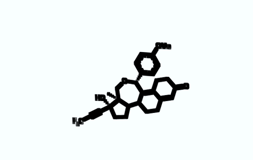 COc1ccc([C@H]2OC[C@@]3(C)C(CC[C@@]3(O)C#CC(F)(F)F)C3CCC4=CC(=O)CCC4=C32)cc1